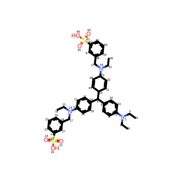 CCN(CC)c1ccc(C(c2ccc(N(CC)Cc3cccc(S(=O)(=O)O)c3)cc2)C2C=CC(N(CC)Cc3cccc(S(=O)(=O)O)c3)C=C2)cc1